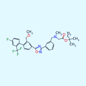 COCc1cc(-c2nc(-c3cccc(CN(C)CC(=O)OC(C)(C)C)c3)no2)ccc1-c1ccc(F)cc1C(F)(F)F